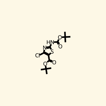 CC(C)(C)OC(=O)Nc1nc(Cl)c(C(=O)OC(C)(C)C)s1